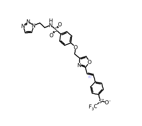 O=S(=O)(NCCn1ccnn1)c1ccc(OCc2coc(/C=C/c3ccc([S+]([O-])C(F)(F)F)cc3)n2)cc1